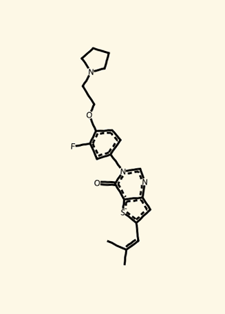 CC(C)=Cc1cc2ncn(-c3ccc(OCCN4CCCC4)c(F)c3)c(=O)c2s1